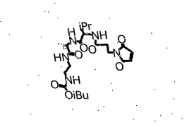 CC(C)COC(=O)NCCNC(=O)[C@H](C)NC(=O)C(NC(=O)CCN1C(=O)C=CC1=O)C(C)C